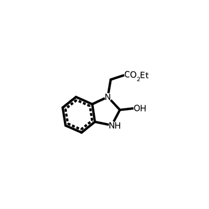 CCOC(=O)CN1c2ccccc2NC1O